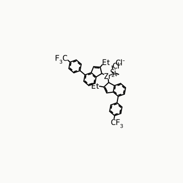 CCC1=Cc2c(-c3ccc(C(F)(F)F)cc3)cccc2[CH]1[Zr+2]([CH]1C(CC)=Cc2c(-c3ccc(C(F)(F)F)cc3)cccc21)=[Si](C)C.[Cl-].[Cl-]